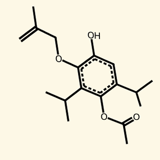 C=C(C)COc1c(O)cc(C(C)C)c(OC(C)=O)c1C(C)C